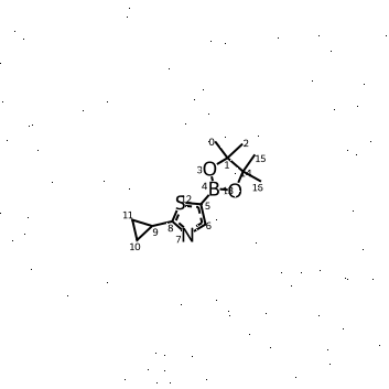 CC1(C)OB(c2cnc(C3CC3)s2)OC1(C)C